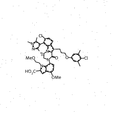 COCCn1c(C(=O)O)cc2c(OC)ccc(N3C[C@@H](C)n4c(c(CCCOc5cc(C)c(Cl)c(C)c5)c5ccc(Cl)c(-c6c(C)nn(C)c6C)c54)C3=O)c21